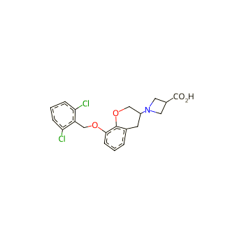 O=C(O)C1CN(C2COc3c(cccc3OCc3c(Cl)cccc3Cl)C2)C1